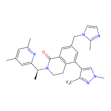 Cc1cc(C)nc([C@H](C)N2CCc3c(cc(Cn4ccnc4C)cc3-c3cn(C)nc3C(F)(F)F)C2=O)c1